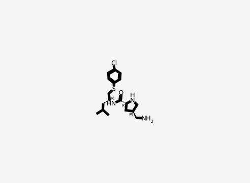 CC(C)C[C@H](CSc1ccc(Cl)cc1)NC(=O)[C@H]1C[C@H](CN)CN1